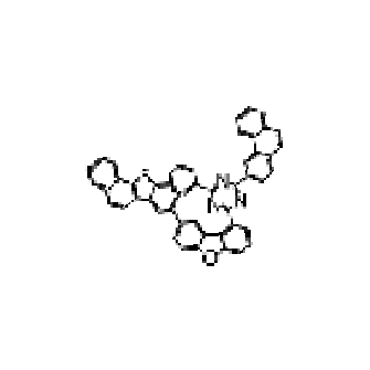 c1ccc(-c2nc(-c3ccc4ccc5ccccc5c4c3)nc(-c3cccc4oc5ccc(-c6ccc7sc8c9ccccc9ccc8c7c6)cc5c34)n2)cc1